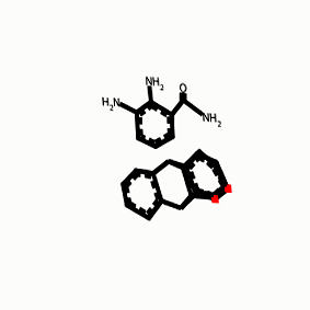 NC(=O)c1cccc(N)c1N.c1ccc2c(c1)C1c3ccccc3C2c2ccccc21